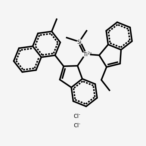 CCC1=Cc2ccccc2[CH]1[Ti+2]([CH]1C(c2cc(C)cc3ccccc23)=Cc2ccccc21)=[Si](C)C.[Cl-].[Cl-]